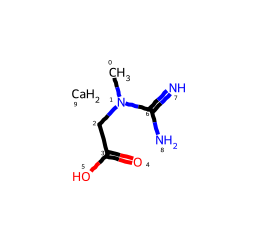 CN(CC(=O)O)C(=N)N.[CaH2]